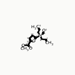 C=CC[N+](C=O)(CC=C)c1ccc(C(=O)OC)o1